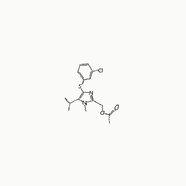 CC(=O)OCc1nc(Sc2cccc(Cl)c2)c(C(C)C)n1C